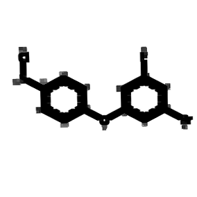 Fc1cc(Br)cc(Oc2ccc(SCl)cc2)c1